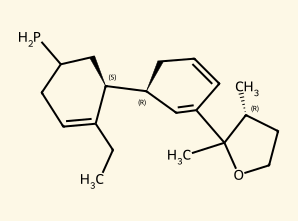 CCC1=CCC(P)C[C@H]1[C@@H]1C=C(C2(C)OCC[C@H]2C)C=CC1